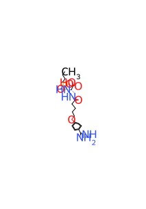 CCCCS(=O)(=O)N[C@@H](CNC(=O)CCCCOc1ccc(C(=N)N)cc1)C(=O)O